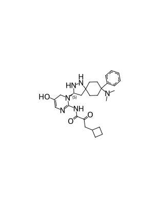 CN(C)C1(c2ccccc2)CCC2(CC1)C[C@@H](N1CC(O)=CN=C1NC(=O)C(=O)CC1CCC1)NN2